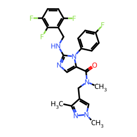 Cc1nn(C)cc1CN(C)C(=O)c1cnc(NCc2c(F)ccc(F)c2F)n1-c1ccc(F)cc1